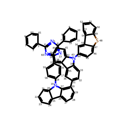 c1ccc(-c2nc(-c3ccccc3)nc(-c3ccc(-n4c5ccccc5c5cccc(-c6ccc7c(c6)c6ccccc6n7-c6ccc7sc8ccccc8c7c6)c54)cc3)n2)cc1